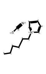 CCCCCC[n+]1ccccc1.N#C[S-]